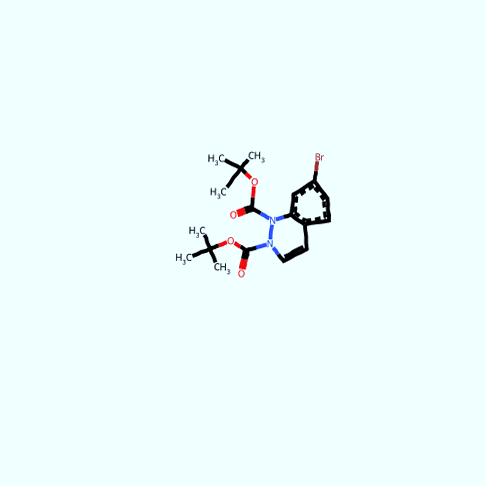 CC(C)(C)OC(=O)N1C=Cc2ccc(Br)cc2N1C(=O)OC(C)(C)C